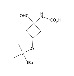 CC(C)(C)[Si](C)(C)OC1CC(C=O)(NC(=O)O)C1